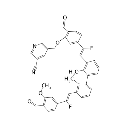 COc1cc(/C(F)=C/c2cccc(-c3cccc(/C=C(\F)c4ccc(C=O)c(OCc5cncc(C#N)c5)c4)c3C)c2C)ccc1C=O